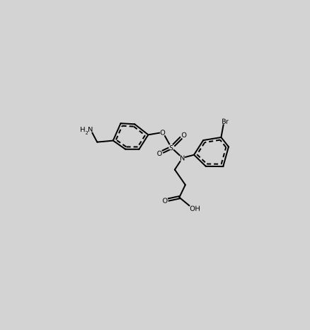 NCc1ccc(OS(=O)(=O)N(CCC(=O)O)c2cccc(Br)c2)cc1